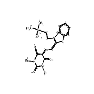 CCN1C(=O)C(=CC=C2Sc3ccccc3N2CC[N+](C)(C)C)C(=O)N(CC)C1=S